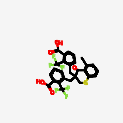 Cc1cccc2c1C(=O)C(Cc1cccc(C(=O)O)c1C(F)(F)F)(Cc1cccc(C(=O)O)c1C(F)(F)F)CS2